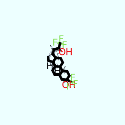 C[C@@H]([C@H]1CC[C@H]2[C@@H]3CC=C4C[C@](O)(C(F)(F)F)CC[C@]4(C)C3CC[C@]12C)[C@H](O)C(F)(F)F